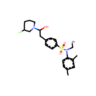 Cc1ccc(N(CC(C)C)S(=O)(=O)c2ccc(CC(O)N3CCCC(F)C3)cc2)c(C)c1